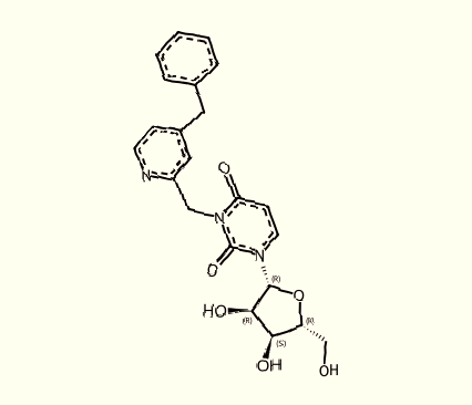 O=c1ccn([C@@H]2O[C@H](CO)[C@@H](O)[C@H]2O)c(=O)n1Cc1cc(Cc2ccccc2)ccn1